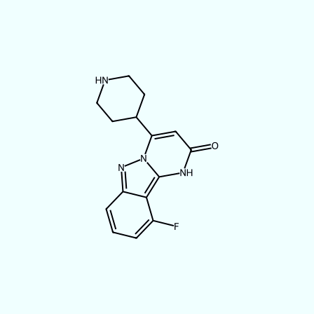 O=c1cc(C2CCNCC2)n2nc3cccc(F)c3c2[nH]1